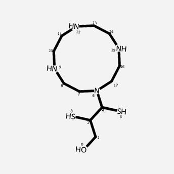 OCC(S)C(S)N1CCNCCNCCNCC1